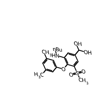 CCCCNc1cc(C(O)O)cc(S(C)(=O)=O)c1Oc1cc(C)cc(C)c1